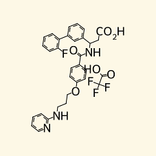 O=C(O)C(F)(F)F.O=C(O)CC(NC(=O)c1ccc(OCCCNc2ccccn2)cc1)c1cccc(-c2ccccc2F)c1